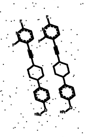 CCCCOc1ccc(C2CCC(C#Cc3ccc(F)nc3F)CC2)cc1.CCCOc1ccc(C2CCC(C#Cc3ccc(F)nc3F)CC2)cc1